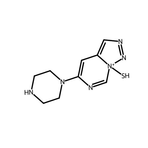 S[N+]12C=NC(N3CCNCC3)=CC1=CN=N2